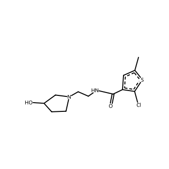 Cc1cc(C(=O)NCCN2CCC(O)C2)c(Cl)s1